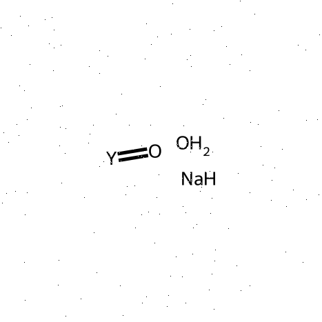 O.[NaH].[O]=[Y]